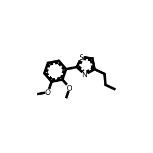 CCCc1csc(-c2cccc(OC)c2OC)n1